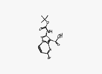 CC(C)(C)OC(=O)Nc1nn2ccc(Br)nc2c1C(=O)O